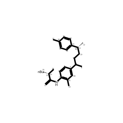 C=C(Nc1ccc(C(C)CC[C@@H](C)c2ccc(C)cc2)cc1C)[C@@H](C)CCCC